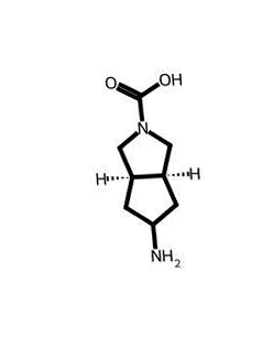 NC1C[C@@H]2CN(C(=O)O)C[C@@H]2C1